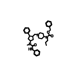 CCCN(C(=O)OCc1ccccc1)C1CCN(CC2CC(N(C)C(=O)Nc3ccccc3)CC2c2ccccc2)CC1